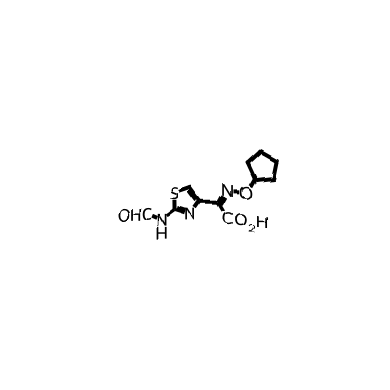 O=CNc1nc(C(=NOC2CCCC2)C(=O)O)cs1